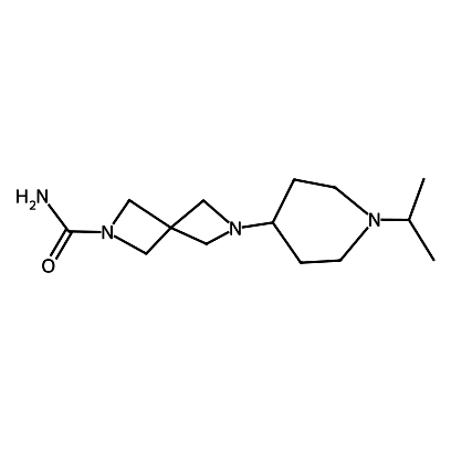 CC(C)N1CCC(N2CC3(CN(C(N)=O)C3)C2)CC1